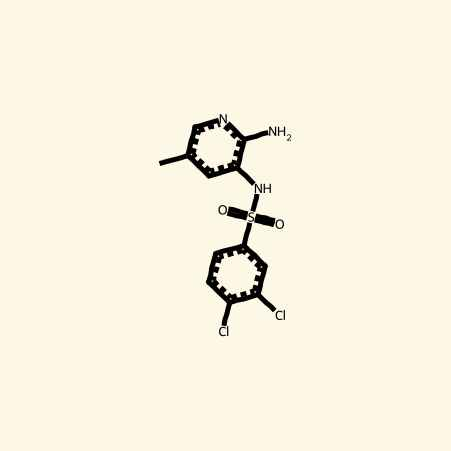 Cc1cnc(N)c(NS(=O)(=O)c2ccc(Cl)c(Cl)c2)c1